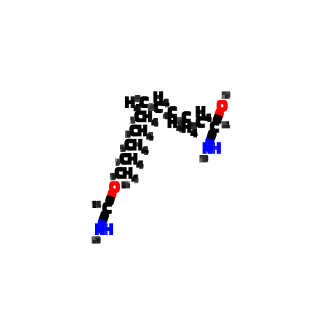 C.C.C.C.C.C.C.C.C.C.N=C=O.N=C=O